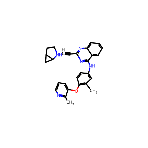 C#Cc1nc(Nc2ccc(Oc3cccnc3C)c(C)c2)c2ccccc2n1.C1CC2CC2N1